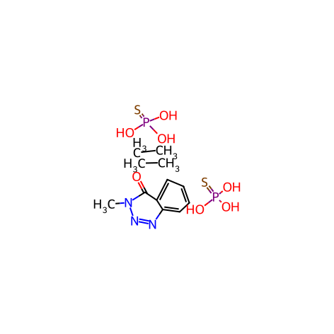 CC.CC.Cn1nnc2ccccc2c1=O.OP(O)(O)=S.OP(O)(O)=S